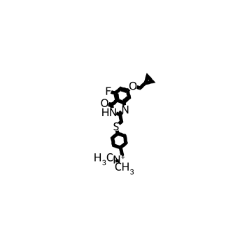 C[N+](C)=CC1CCC(SCc2nc3cc(OCC4CC4)cc(F)c3c(=O)[nH]2)CC1